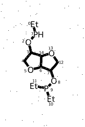 CCPOC1COC2C(OP(CC)CC)COC12